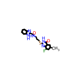 Cc1cc(F)c2nc(SCCCNC(=O)c3nc4ccccc4[nH]3)[nH]c(=O)c2c1